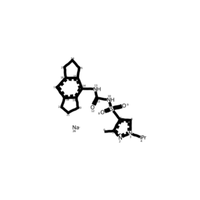 Cc1nn(C(C)C)cc1S(=O)(=O)NC(=O)Nc1c2c(cc3c1CCC3)CCC2.[Na]